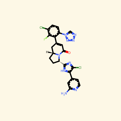 Nc1cc(-c2[nH]c([C@@H]3CC[C@@H]4CC(c5c(-n6cnnn6)ccc(Cl)c5F)=CC(=O)N43)nc2Cl)ccn1